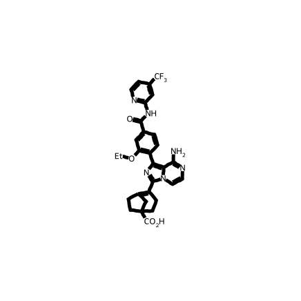 CCOc1cc(C(=O)Nc2cc(C(F)(F)F)ccn2)ccc1-c1nc(C2=C3CCC(C(=O)O)(CC2)C3)n2ccnc(N)c12